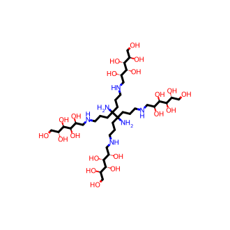 NC(CCCNC[C@H](O)[C@@H](O)[C@H](O)[C@H](O)CO)(CCCNC[C@H](O)[C@@H](O)[C@H](O)[C@H](O)CO)C(N)(CCCNC[C@H](O)[C@@H](O)[C@H](O)[C@H](O)CO)CCCNC[C@H](O)[C@@H](O)[C@H](O)[C@H](O)CO